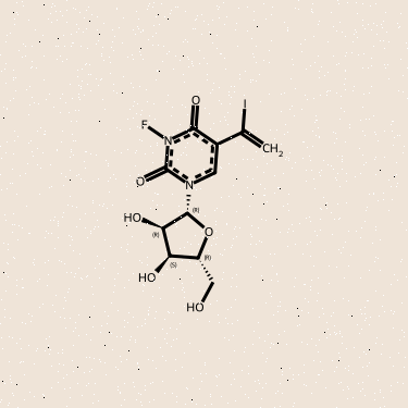 C=C(I)c1cn([C@@H]2O[C@H](CO)[C@@H](O)[C@H]2O)c(=O)n(F)c1=O